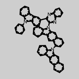 c1ccc(-n2c3ccccc3c3cc(-c4nc5ccccc5nc4-n4c5ccccc5c5cc6c(-n7c8ccccc8c8cc9ccccc9cc87)cccc6cc54)ccc32)cc1